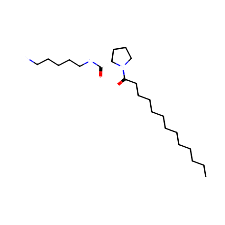 CCCCCCCCCCCCC(=O)N1CCC[C@H]1C(=O)NCCCCCN